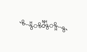 C=CC(=O)OCCCCNC(=O)C1CCC(C(=O)Oc2ccc(OC(=O)C3CCC(C(=O)NCCCCOC(=O)C=C)CC3)c(C=N)c2)CC1